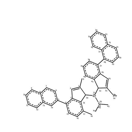 CC1=Cc2c(-c3ccc4ccccc4c3)ccc(C)c2[CH]1[Zr]([CH]1C(C(C)C)=Cc2c(-c3cccc4ccccc34)cccc21)[SiH](C)C